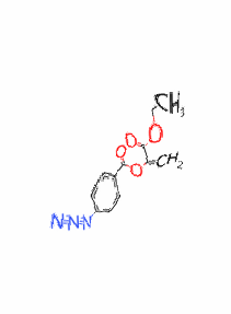 C=C(OC(=O)c1ccc(N=[N+]=[N-])cc1)C(=O)OCC